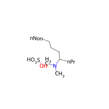 CCCCCCCCCCCCC(CCC)N(C)C.O=S(=O)(O)O